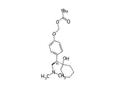 CN(C)C[C@@H](c1ccc(OCOC(=O)C(C)(C)C)cc1)C1(O)CCCCC1